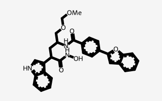 COCOCC(CC(C(=O)NO)c1c[nH]c2ccccc12)NC(=O)c1ccc(-c2cc3ccccc3o2)cc1